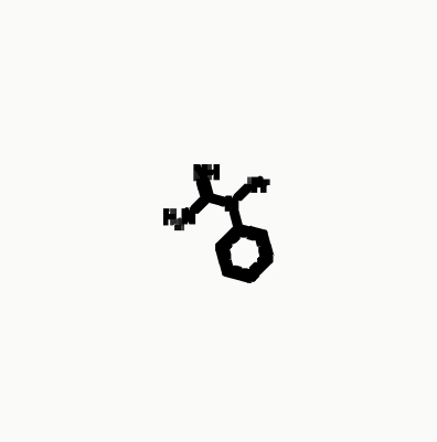 CC(C)N(C(=N)N)c1ccccc1